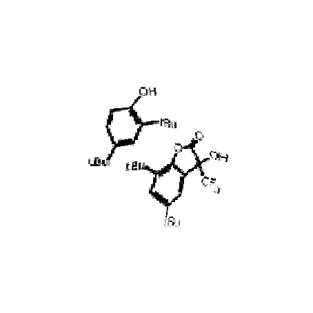 CC(C)(C)c1cc(C(C)(C)C)c2c(c1)C(O)(C(F)(F)F)C(=O)O2.CC(C)(C)c1ccc(O)c(C(C)(C)C)c1